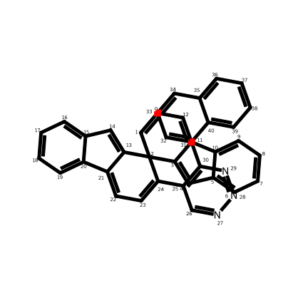 C1=CC2(C3=Cc4ccccc4C3=C1)C1=Cc3ccccc3C1=CC=C2c1cnnnc1-c1cccc2ccccc12